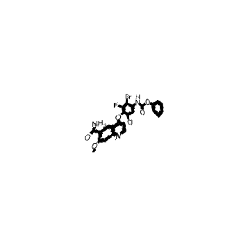 COc1cc2nccc(Oc3c(Cl)cc(NC(=O)Oc4ccccc4)c(Br)c3F)c2cc1C(N)=O